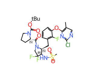 Cc1cnc(Cl)nc1Oc1cccc(C[C@H]2[C@@H](NS(C)(=O)=O)C(F)(F)CN2C(=O)[C@@H]2CCCN2C(=O)OC(C)(C)C)c1F